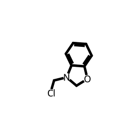 ClCN1COc2ccccc21